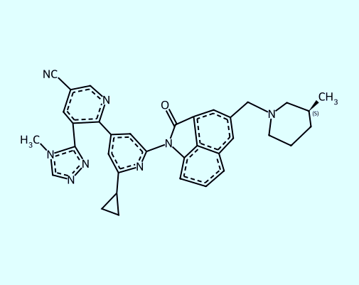 C[C@H]1CCCN(Cc2cc3c4c(cccc4c2)N(c2cc(-c4ncc(C#N)cc4-c4nncn4C)cc(C4CC4)n2)C3=O)C1